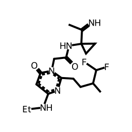 CCNc1cc(=O)n(CC(=O)NC2(C(C)=N)CC2)c(CCC(C)C(F)F)n1